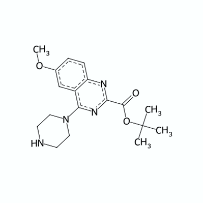 COc1ccc2nc(C(=O)OC(C)(C)C)nc(N3CCNCC3)c2c1